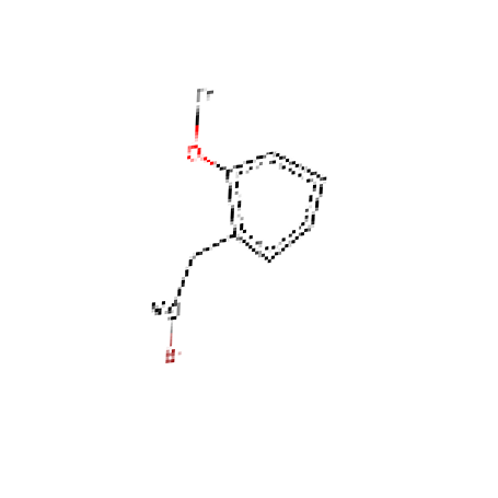 CCOc1ccccc1[CH2][Mg][Br]